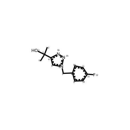 CC(C)(O)c1cn(Cc2ccc(F)cc2)nn1